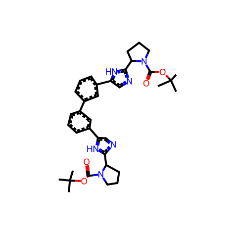 CC(C)(C)OC(=O)N1CCCC1c1ncc(-c2cccc(-c3cccc(-c4cnc(C5CCCN5C(=O)OC(C)(C)C)[nH]4)c3)c2)[nH]1